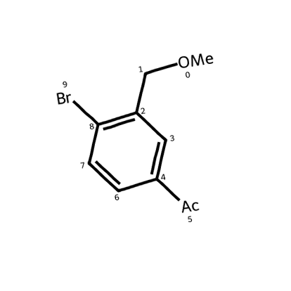 COCc1cc(C(C)=O)ccc1Br